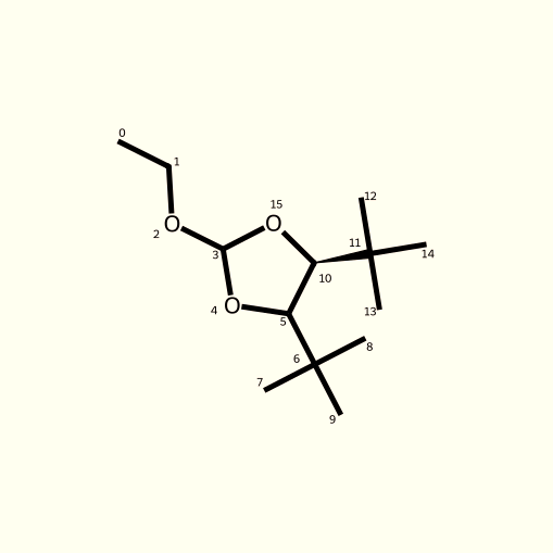 CCOC1OC(C(C)(C)C)[C@H](C(C)(C)C)O1